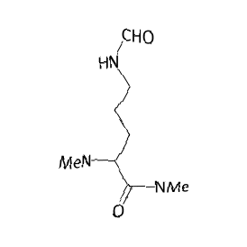 CNC(=O)C(CCCNC=O)NC